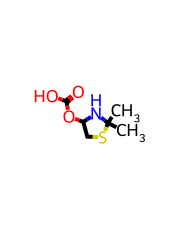 CC1(C)NC(OC(=O)O)CS1